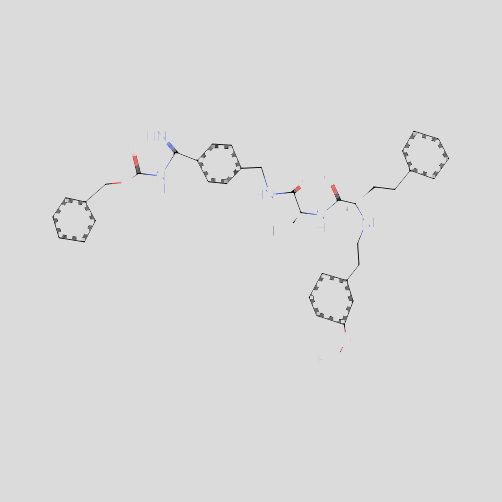 C[C@H](NC(=O)[C@@H](CCc1ccccc1)NCCc1cccc(OC(F)(F)F)c1)C(=O)NCc1ccc(C(=N)NC(=O)OCc2ccccc2)cc1